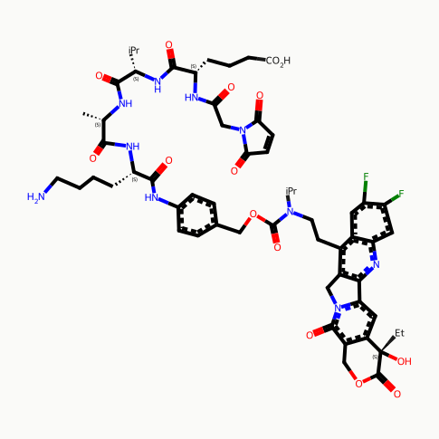 CC[C@@]1(O)C(=O)OCc2c1cc1n(c2=O)Cc2c-1nc1cc(F)c(F)cc1c2CCN(C(=O)OCc1ccc(NC(=O)[C@H](CCCCN)NC(=O)[C@H](C)NC(=O)[C@@H](NC(=O)[C@H](CCCC(=O)O)NC(=O)CN2C(=O)C=CC2=O)C(C)C)cc1)C(C)C